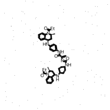 CCC(=O)N1c2ccccc2[C@H](Nc2ccc(NC(=O)c3coc(NC4CCC(N[C@@H]5C[C@H](C)N(C(=O)CC)c6ccccc65)CC4)n3)cc2)C[C@@H]1C